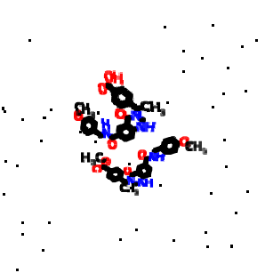 COC(=O)c1ccc(C(C)N2CNc3ccc(C(=O)NCc4ccc(OC)cc4)cc3C2=O)cc1.COc1ccc(CNC(=O)c2ccc3c(c2)C(=O)N(C(C)c2ccc(C(=O)O)cc2)CN3)cc1